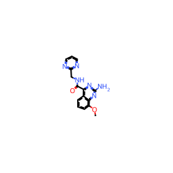 COc1cccc2c(C(=O)NCc3ncccn3)nc(N)nc12